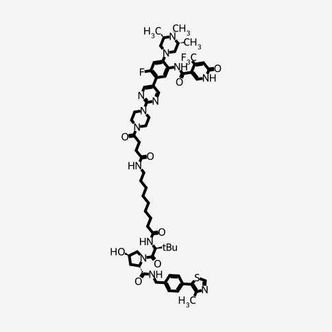 Cc1ncsc1-c1ccc(CNC(=O)[C@@H]2C[C@@H](O)CN2C(=O)[C@@H](NC(=O)CCCCCCCCNC(=O)CCC(=O)N2CCN(c3ncc(-c4cc(NC(=O)c5c[nH]c(=O)cc5C(F)(F)F)c(N5C[C@@H](C)N(C)[C@@H](C)C5)cc4F)cn3)CC2)C(C)(C)C)cc1